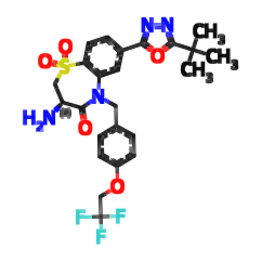 CC(C)(C)c1nnc(-c2ccc3c(c2)N(Cc2ccc(OCC(F)(F)F)cc2)C(=O)[C@@H](N)CS3(=O)=O)o1